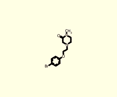 CN1CCN(CCOc2ccc(Br)cc2)CC1=O